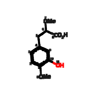 COc1ccc(CC(OC)C(=O)O)cc1O